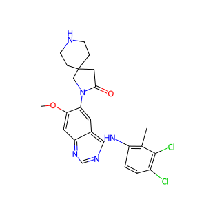 COc1cc2ncnc(Nc3ccc(Cl)c(Cl)c3C)c2cc1N1CC2(CCNCC2)CC1=O